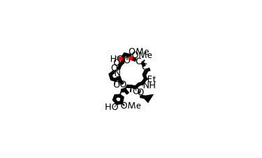 CC[C@@H]1/C=C(\C)C[C@H](C)C[C@H](OC)[C@H]2O[C@@](O)(C(=O)C(=O)N3CCCC[C@H]3C(=O)O[C@H](/C(C)=C/[C@@H]3CC[C@@H](O)[C@H](OC)C3)[C@H](C)[C@@H](OOCC3CC3)CC1=N)[C@H](C)C[C@@H]2OC